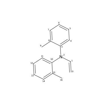 C=CN(c1ccccc1C)c1ccccc1C